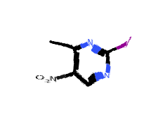 Cc1nc(I)ncc1[N+](=O)[O-]